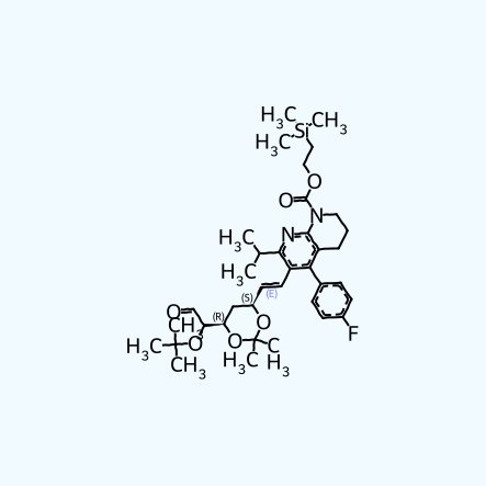 CC(C)c1nc2c(c(-c3ccc(F)cc3)c1/C=C/[C@@H]1C[C@H](C(C=O)OC(C)(C)C)OC(C)(C)O1)CCCN2C(=O)OCC[Si](C)(C)C